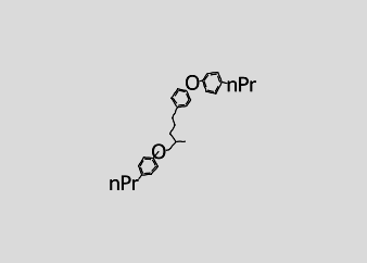 CCCc1ccc(OCC(C)CCCc2ccc(Oc3ccc(CCC)cc3)cc2)cc1